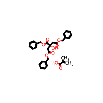 C=C(C)C(=O)O.O=C(CC(O)(CC(=O)OCc1ccccc1)C(=O)OCc1ccccc1)OCc1ccccc1